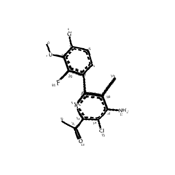 COc1c(Cl)ccc(-c2nc(C(C)=O)c(Cl)c(N)c2C)c1F